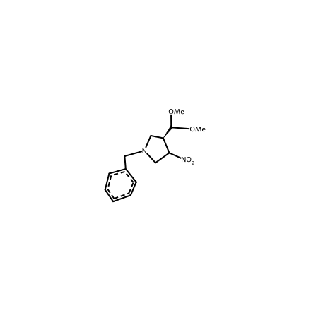 COC(OC)[C@@H]1CN(Cc2ccccc2)CC1[N+](=O)[O-]